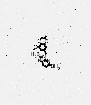 Bc1ccc2nc(B)n(Cc3cc(OC)c4c(c3)OC(C)CO4)c2n1